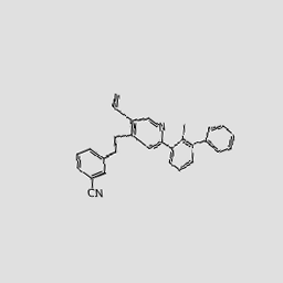 C=Cc1cnc(-c2cccc(-c3ccccc3)c2C)cc1CCc1cccc(C#N)c1